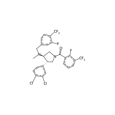 CN(Cc1ccc(C(F)(F)F)c(F)c1)[C@H]1CN(C(=O)c2cccc(C(F)(F)F)c2F)C[C@@H]1c1ccc(Cl)c(Cl)c1